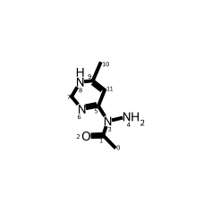 CC(=O)N(N)C1=NCNC(C)=C1